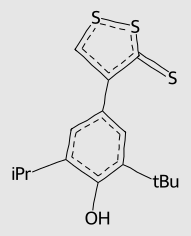 CC(C)c1cc(-c2cssc2=S)cc(C(C)(C)C)c1O